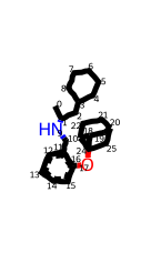 CC(CC1CCCCC1)NCc1ccccc1OC1CC2CCC1CC2